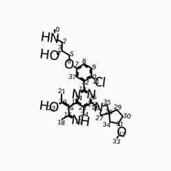 CNC[C@@H](O)COc1ccc(Cl)c(-c2nc(/C(C(C)=N)=C(\C)O)c(C)c(N3CC4(CCC(OC)C4)C3)n2)c1